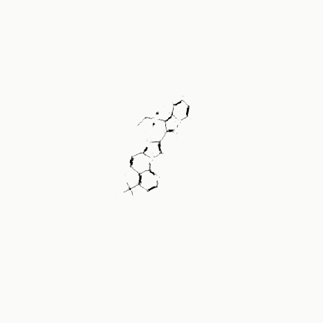 CCS(=O)(=O)c1c(-c2cn3c(ccc4c(C(F)(F)F)ccnc43)n2)nn2ccccc12